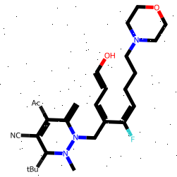 C=C1C(C(C)=O)=C(C#N)C(C(C)(C)C)N(C)N1CC(=C/C=C/O)/C(F)=C\CCCN1CCOCC1